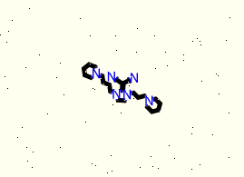 N#CC(C#N)=C1N(CCCCN2CCCCC2)CCN1CCCN1CCCCC1